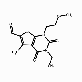 CCn1c(=O)c2c(C)c(C=O)sc2n(CCOC)c1=O